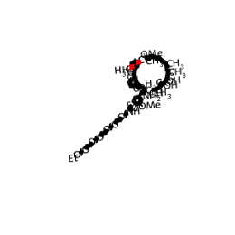 CCOCCOCCOCCOCCOCCOCCOCCNC(=S)O[C@@H]1CC[C@@H](C[C@@H](N)C2C[C@@H](O)[C@H](C)/C=C(\C)[C@@H](O)[C@@H](O)C(=O)C(C)C[C@H](C)/C=C/C=C/C=C(\C)[C@@H](OC)C[C@@H]3CC[C@@H](C)[C@@](O)(O3)C(=O)C(=O)N3CCCCC3C(=O)O2)C[C@H]1OC